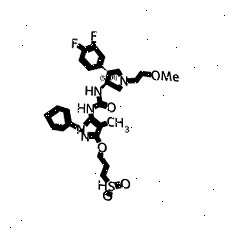 COCCN1C[C@@H](NC(=O)Nc2c(C)c(OCCC[SH](=O)=O)nn2-c2ccccc2)[C@H](c2ccc(F)c(F)c2)C1